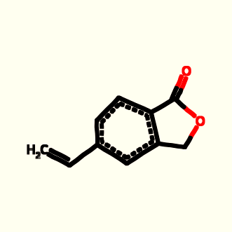 C=Cc1ccc2c(c1)COC2=O